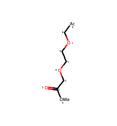 COC(=O)COCCOCC(C)=O